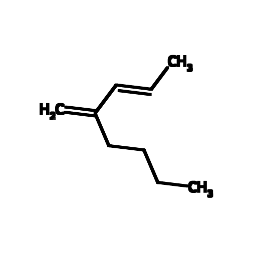 C=C(C=CC)CCCC